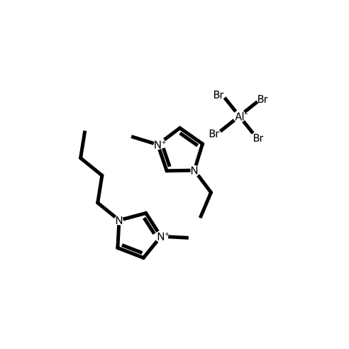 CCCCn1cc[n+](C)c1.CCn1cc[n+](C)c1.[Br][Al-]([Br])([Br])[Br]